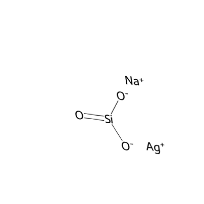 O=[Si]([O-])[O-].[Ag+].[Na+]